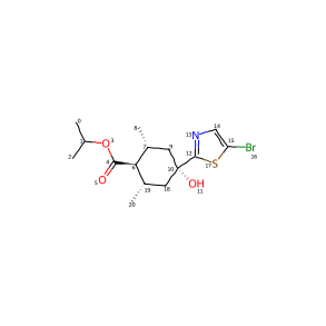 CC(C)OC(=O)[C@H]1[C@H](C)C[C@@](O)(c2ncc(Br)s2)C[C@@H]1C